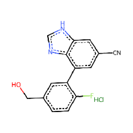 Cl.N#Cc1cc(-c2cc(CO)ccc2F)c2nc[nH]c2c1